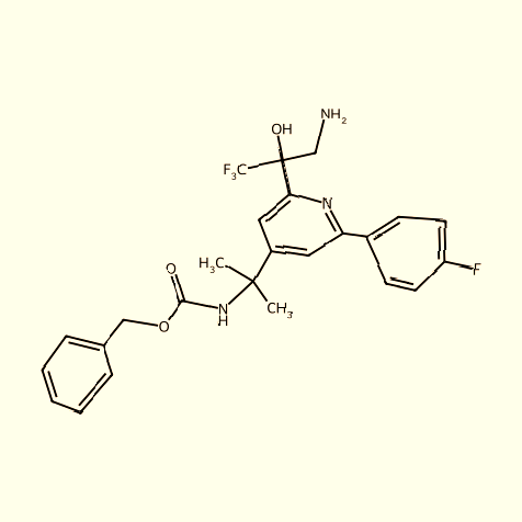 CC(C)(NC(=O)OCc1ccccc1)c1cc(-c2ccc(F)cc2)nc(C(O)(CN)C(F)(F)F)c1